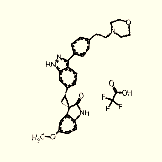 COc1ccc2c(c1)[C@]1(C[C@H]1c1ccc3c(-c4ccc(CCN5CCOCC5)cc4)n[nH]c3c1)C(=O)N2.O=C(O)C(F)(F)F